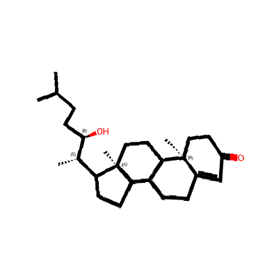 CC(C)CC[C@@H](O)[C@@H](C)C1CCC2C3CCC4=CC(=O)CC[C@]4(C)C3CC[C@@]21C